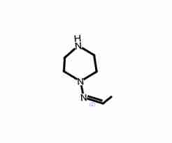 C/C=N\N1CCNCC1